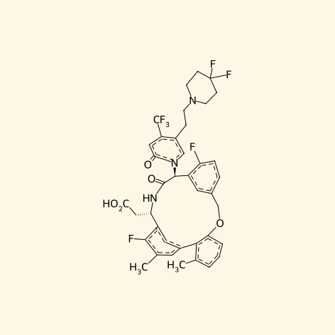 Cc1cc2cc(c1F)[C@H](CC(=O)O)NC(=O)[C@@H](n1cc(CCN3CCC(F)(F)CC3)c(C(F)(F)F)cc1=O)c1cc(ccc1F)COc1cccc(C)c1-2